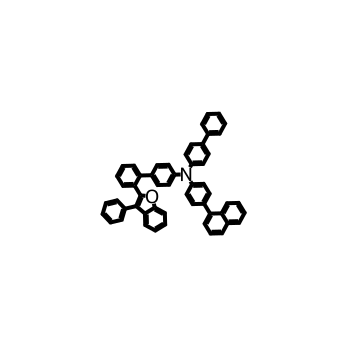 c1ccc(-c2ccc(N(c3ccc(-c4ccccc4-c4oc5ccccc5c4-c4ccccc4)cc3)c3ccc(-c4cccc5ccccc45)cc3)cc2)cc1